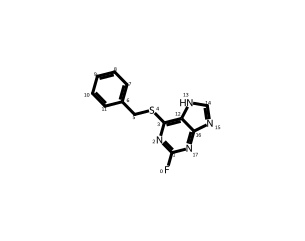 Fc1nc(SCc2ccccc2)c2[nH]cnc2n1